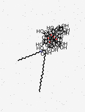 CCCCCCCCCCCCC/C=C/[C@@H](O)[C@H](CO[C@@H]1OC(CO)[C@@H](O[C@@H]2OC(CO)[C@H](O)[C@H](O[C@@H]3OC(CO)[C@@H](O[C@H]4OC(C)[C@@H](O)C(O)[C@@H]4O)[C@H](O[C@@H]4OC(CO)[C@H](O)[C@H](O[C@@H]5OC(CO)[C@@H](O[C@@H]6OC(CO)[C@H](O)[C@H](O)C6O)[C@H](O)C5NC(C)=O)C4O)C3NC(C)=O)C2O)[C@H](O)C1O)NC(=O)CCCCCCCCCCCCCCCCCCCCC